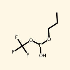 CCCOP(O)OC(F)(F)F